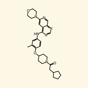 Cc1cc(Nc2ncnc3cnc(N4CCOCC4)cc23)ccc1OC1CCN(C(=O)CC2CCCC2)CC1